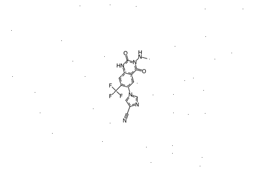 CNn1c(=O)[nH]c2cc(C(F)(F)F)c(-n3cnc(C#N)c3)cc2c1=O